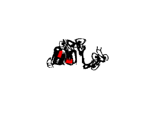 CN(C(=O)[C@@H]1NC2(CCCCC2)[C@@]2(C(=O)Nc3cc(Cl)ccc32)[C@H]1c1cccc(Cl)c1F)C1CCC(C(=O)N2CCC(C#Cc3cccc4c3CN(C3CCC(=O)NC3=O)C4=O)CC2)CC1